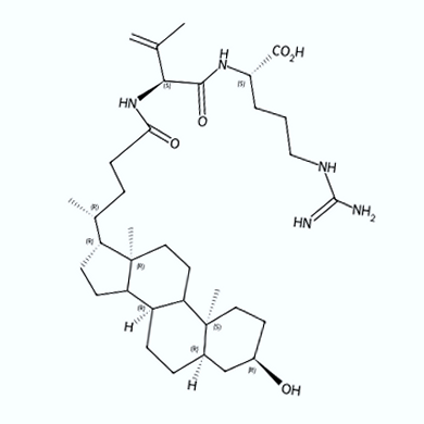 C=C(C)[C@H](NC(=O)CC[C@@H](C)[C@H]1CCC2[C@@H]3CC[C@@H]4C[C@H](O)CC[C@]4(C)C3CC[C@@]21C)C(=O)N[C@@H](CCCNC(=N)N)C(=O)O